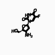 NC1C[C@@H](n2cc(F)c(=O)[nH]c2=O)O[C@H]1CO